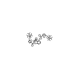 CC(C)[Si](OCc1ccc(C(=O)OCc2cccc(COC(=O)c3ccc(CO[Si](C(C)C)(C(C)C)C(C)C)o3)c2[N+](=O)[O-])o1)(C(C)C)C(C)C